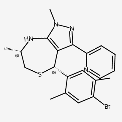 Cc1cc([C@@H]2SC[C@H](C)Nc3c2c(-c2ccccn2)nn3C)c(C)cc1Br